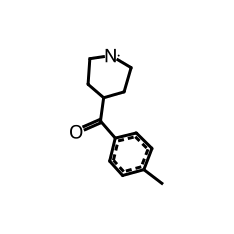 Cc1ccc(C(=O)C2CC[N]CC2)cc1